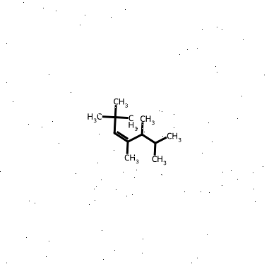 CC(=CC(C)(C)C)C(C)C(C)C